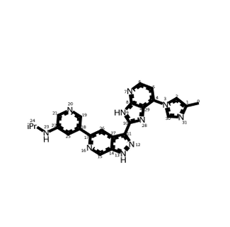 Cc1cn(-c2ccnc3[nH]c(-c4n[nH]c5cnc(-c6cncc(NC(C)C)c6)cc45)nc23)cn1